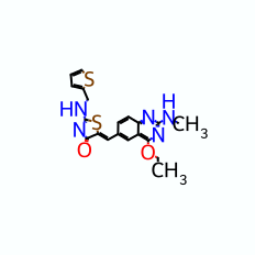 CCOc1nc(NC)nc2ccc(/C=C3\SC(NCc4cccs4)=NC3=O)cc12